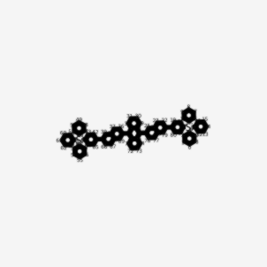 c1ccc([Si](c2ccccc2)(c2ccccc2)c2ccc(-c3ccc4cc(-c5c6ccccc6c(-c6ccc7cc(-c8ccc([Si](c9ccccc9)(c9ccccc9)c9ccccc9)cc8)ccc7c6)c6ccccc56)ccc4c3)cc2)cc1